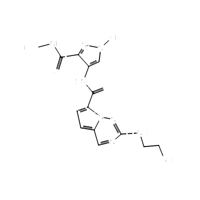 CNC(=O)c1nn(C)cc1NC(=O)c1ccc2cnc(NCCN)nn12